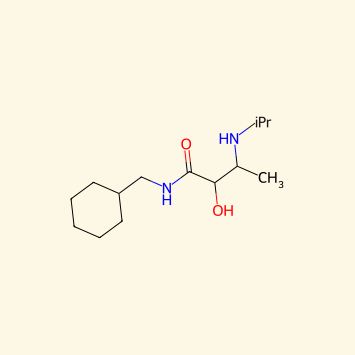 CC(C)NC(C)C(O)C(=O)NCC1CCCCC1